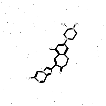 Cc1cn2cc(C3=Cc4c(F)cc(N5CCN(C)[C@@H](C)C5)cc4CCC3=O)nc2cn1